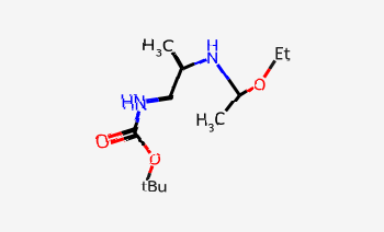 CCOC(C)NC(C)CNC(=O)OC(C)(C)C